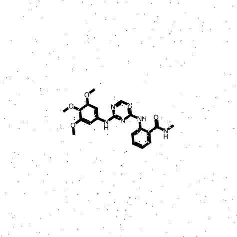 CNC(=O)c1ccccc1Nc1ncnc(NC2=CC(OC)C(OC)C(OC)=C2)n1